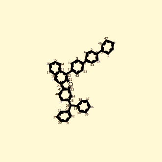 c1ccc(-c2ccc(-c3ccc(-c4c5ccccc5cc5c4oc4cc(C(c6ccccc6)c6ccccc6)ccc45)cc3)cc2)cc1